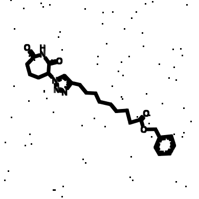 O=C1CCCC(n2cc(CCCCCCCCC(=O)OCc3ccccc3)nn2)C(=O)N1